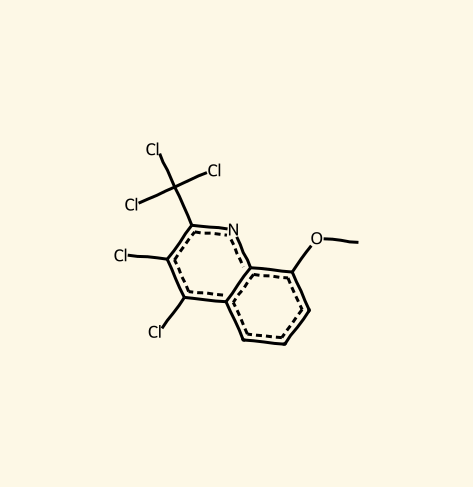 COc1cccc2c(Cl)c(Cl)c(C(Cl)(Cl)Cl)nc12